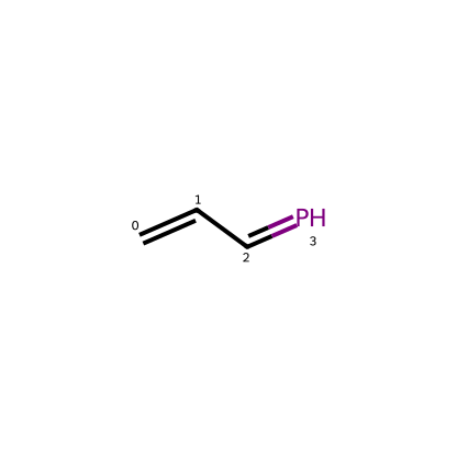 C=CC=P